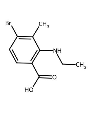 CCNc1c(C(=O)O)ccc(Br)c1C